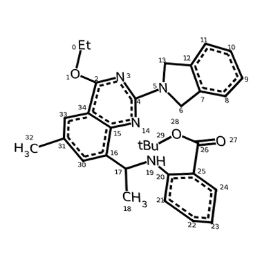 CCOc1nc(N2Cc3ccccc3C2)nc2c(C(C)Nc3ccccc3C(=O)OC(C)(C)C)cc(C)cc12